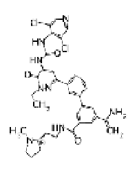 C=C(N)c1cc(C(=O)NCC[C@H]2CCCN2C)cc(-c2cccc(-c3cc(NC(=O)Nc4c(Cl)cncc4Cl)c(=O)n(CC)n3)c2)c1